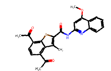 COc1cc(NC(=O)c2sc3c(C(C)=O)ccc(C(C)=O)c3c2C)nc2ccccc12